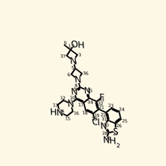 CC1(O)CN(C2CN(c3nc(N4CCNCC4)c4cc(Cl)c(-c5cccc6sc(N)nc56)c(F)c4n3)C2)C1